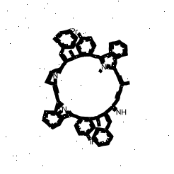 CC1=C/c2c3ccccc3c(n2C)-c2ccc(C(C)C)cc2C(C)/C(=C\c2ccccc2)C2=N/C(=C\c3c4ccccc4c(n3C)-c3ccc(C(C)C)cc3C(C)/C(=C\c3ccccc3)C(=N)/C=C\1)C=C2